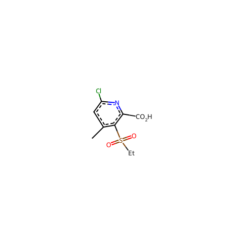 CCS(=O)(=O)c1c(C)cc(Cl)nc1C(=O)O